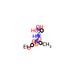 CCOc1ccc(S(=O)(=O)N(CC(=O)NN=Cc2ccccc2N(O)O)c2ccc(C)cc2)cc1